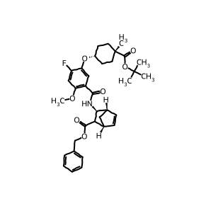 COc1cc(F)c(O[C@H]2CC[C@@](C)(C(=O)OC(C)(C)C)CC2)cc1C(=O)N[C@@H]1C(C(=O)OCc2ccccc2)[C@H]2C=C[C@@H]1C2